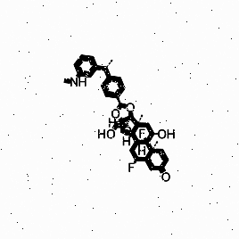 CNc1cccc([C@H](C)c2ccc([C@@H]3O[C@@H]4C[C@H]5[C@@H]6C[C@H](F)C7=CC(=O)C=C[C@]7(C)[C@@]6(F)[C@@H](O)C[C@]5(C)[C@]4(C(=O)CO)O3)cc2)c1